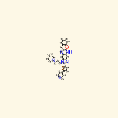 O=c1[nH]c2cc3nc(-c4ccc(-c5ccncc5)s4)n(CCCN4CCCCC4)c3cc2nc1Cc1ccccc1